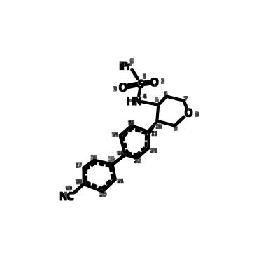 CC(C)S(=O)(=O)NC1CCOC[C@H]1c1ccc(-c2ccc(C#N)cc2)cc1